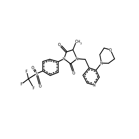 CC1C(=O)N(c2ccc(S(=O)(=O)C(F)(F)F)cc2)C(=O)N1Cc1ccncc1N1CCOCC1